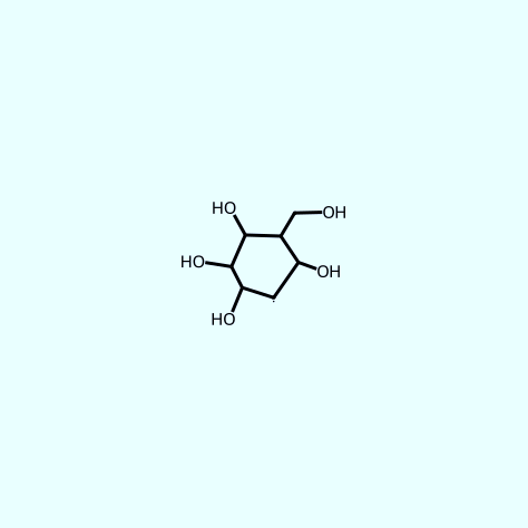 OCC1C(O)[CH]C(O)C(O)C1O